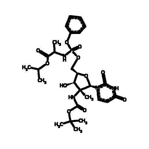 CC(C)OC(=O)C(C)NP(=O)(OC[C@H]1O[C@@H](n2ccc(=O)[nH]c2=O)[C@](C)(NC(=O)OC(C)(C)C)[C@@H]1O)Oc1ccccc1